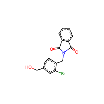 O=C1c2ccccc2C(=O)N1Cc1ccc(CO)cc1Br